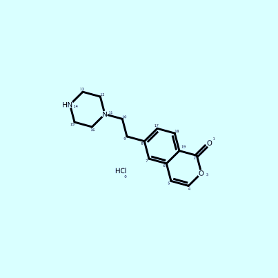 Cl.O=c1occc2cc(CCN3CCNCC3)ccc12